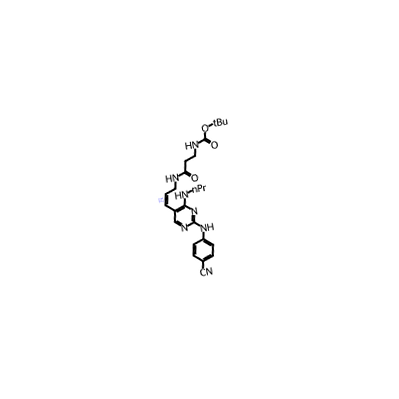 CCCNc1nc(Nc2ccc(C#N)cc2)ncc1/C=C\CNC(=O)CCNC(=O)OC(C)(C)C